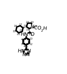 O=C(Nc1ccc(-c2nnn[nH]2)cc1)[C@@H]1[C@H](C2CCCCC2)CCN1C(=O)O